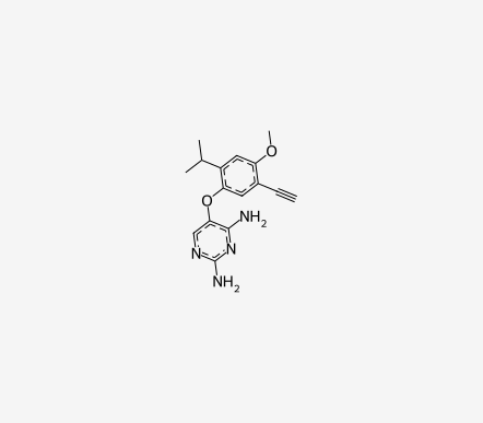 C#Cc1cc(Oc2cnc(N)nc2N)c(C(C)C)cc1OC